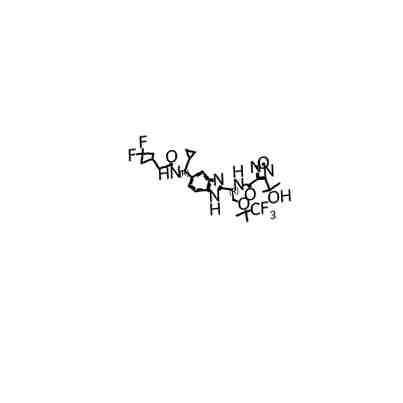 CC(C)(O)c1nonc1C(=O)N[C@@H](COC(C)(C)C(F)(F)F)c1nc2cc([C@H](NC(=O)CC3CC(F)(F)C3)C3CC3)ccc2[nH]1